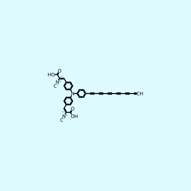 [C-]#[N+]/C(=C\c1ccc(N(c2ccc(C#CC#CC#CC#CC#CC#C)cc2)c2ccc(/C=C(/[N+]#[C-])C(=O)O)cc2)cc1)C(=O)O